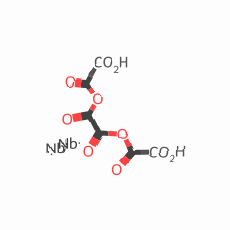 O=C(O)C(=O)OC(=O)C(=O)OC(=O)C(=O)O.[Nb].[Nb]